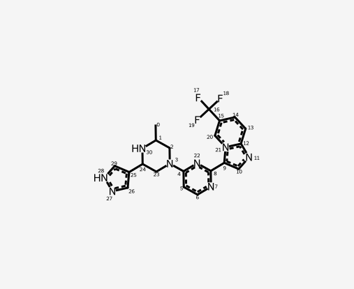 CC1CN(c2ccnc(-c3cnc4ccc(C(F)(F)F)cn34)n2)CC(c2cn[nH]c2)N1